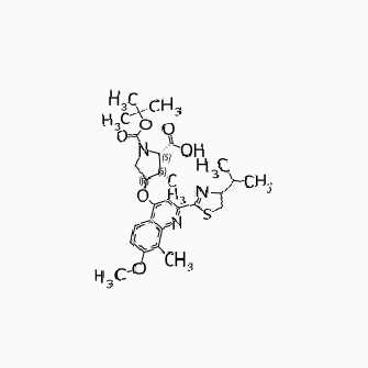 COc1ccc2c(O[C@H]3CN(C(=O)OC(C)(C)C)[C@H](C(=O)O)[C@@H]3C)cc(C3=NC(C(C)C)CS3)nc2c1C